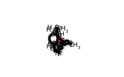 COc1ccc2c(OC3C[C@H]4C(=O)N[C@]5(C(=O)NS(=O)(=O)C6CC6)C[C@H]5/C=C\CCCOC[C@H](NC(=O)OC(C)(C)C)C(=O)N4C3)nc(-c3ccc(OC(F)(F)F)cc3)cc2c1